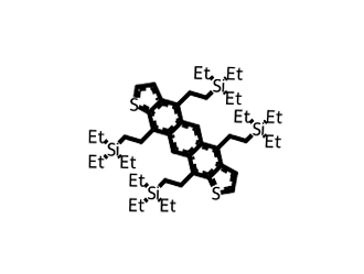 CC[Si](CC)(CC)CCc1c2cc3c(CC[Si](CC)(CC)CC)c4ccsc4c(CC[Si](CC)(CC)CC)c3cc2c(CC[Si](CC)(CC)CC)c2sccc12